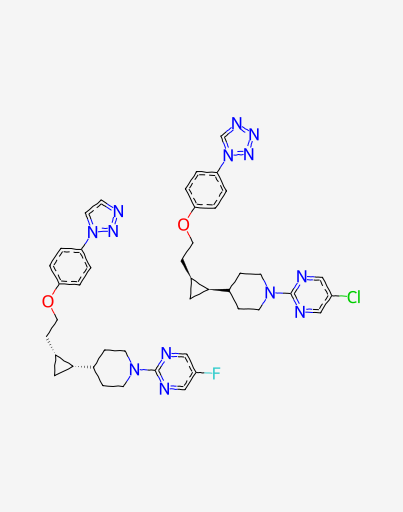 Clc1cnc(N2CCC([C@H]3C[C@H]3CCOc3ccc(-n4cnnn4)cc3)CC2)nc1.Fc1cnc(N2CCC([C@@H]3C[C@@H]3CCOc3ccc(-n4ccnn4)cc3)CC2)nc1